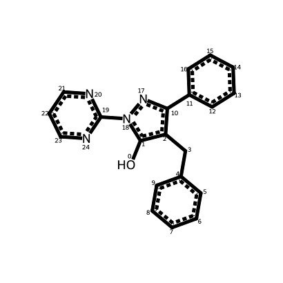 Oc1c(Cc2ccccc2)c(-c2ccccc2)nn1-c1ncccn1